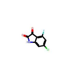 O=C1Nc2cc(Cl)cc(F)c2C1=O